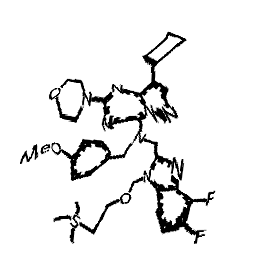 COc1ccc(CN(Cc2nc3c(F)c(F)ccc3n2COCCS(C)(C)C)c2nc(N3CCOCC3)nc3c(C4CCC4)cnn23)cc1